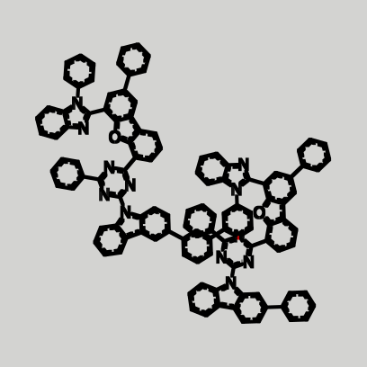 c1ccc(-c2cc(-c3nc4ccccc4n3-c3ccccc3)c3oc4c(-c5nc(-c6ccccc6)nc(-n6c7ccccc7c7cc(-c8cccc(-c9cccc(-n%10c(-c%11cc(-c%12ccccc%12)cc%12c%11oc%11c(-c%13nc(-c%14ccccc%14)nc(-n%14c%15ccccc%15c%15ccc(-c%16ccccc%16)cc%15%14)n%13)cccc%11%12)nc%11ccccc%11%10)c9)c8)ccc76)n5)cccc4c3c2)cc1